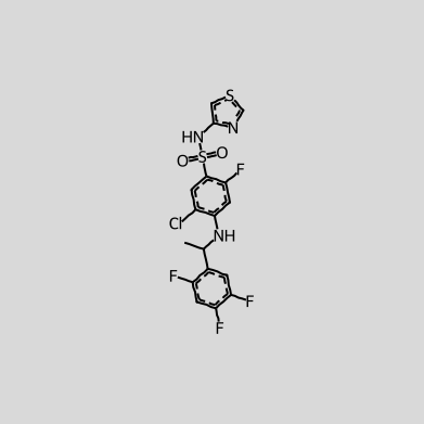 CC(Nc1cc(F)c(S(=O)(=O)Nc2cscn2)cc1Cl)c1cc(F)c(F)cc1F